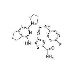 NC(=O)c1cnc(Nc2nc(N3CCC[C@@H]3C(=O)Nc3ccc(F)nc3)nc3c2CCC3)s1